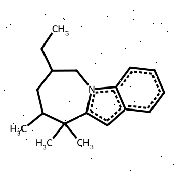 CCC1CC(C)C(C)(C)c2cc3ccccc3n2C1